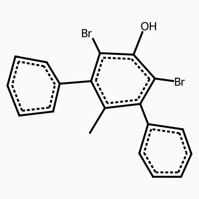 Cc1c(-c2ccccc2)c(Br)c(O)c(Br)c1-c1ccccc1